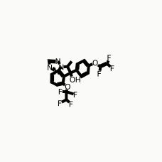 CC(n1ncnn1)C(O)(c1ccc(OC(F)=C(F)F)cc1)c1ccccc1OC(F)(F)C(F)F